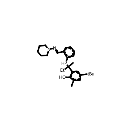 CCC(C)(Pc1ccccc1/C=N/N1CCCCC1)c1cc(C(C)(C)C)cc(C)c1O